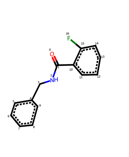 O=C(NCc1ccccc1)c1ccccc1F